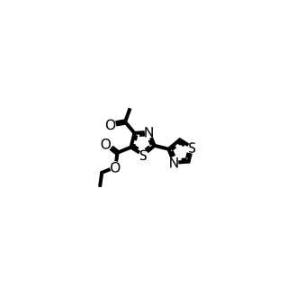 CCOC(=O)c1sc(-c2cscn2)nc1C(C)=O